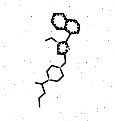 CCCC(C)N1CCN(Cc2cn(CC)c(-c3cccc4ccccc34)n2)CC1